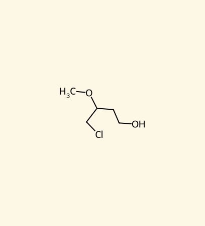 COC(CCl)CCO